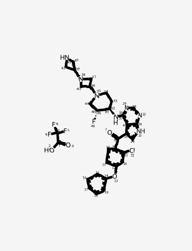 O=C(O)C(F)(F)F.O=C(c1ccc(Oc2ccccc2)cc1Cl)c1c[nH]c2ncnc(N[C@@H]3CCN(C4CN(C5CNC5)C4)C[C@H]3F)c12